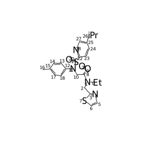 CCN(Cc1nccs1)C(=O)CN(c1ccc(C)cc1)S(=O)(=O)c1ccc(C(C)C)cn1